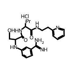 CC(C)C(NC(=O)C(CO)Nc1cccc(C(=N)N)c1)C(=O)NCCc1ccccn1.Cl